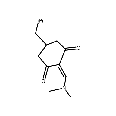 CC(C)CC1CC(=O)C(=CN(C)C)C(=O)C1